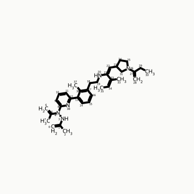 C=C(C)NN(C(=C)C)c1cccc(-c2cccc(CCNC(=C/C3CCN(C(=C)CC)C3)/C(C)=C\C)c2C)n1